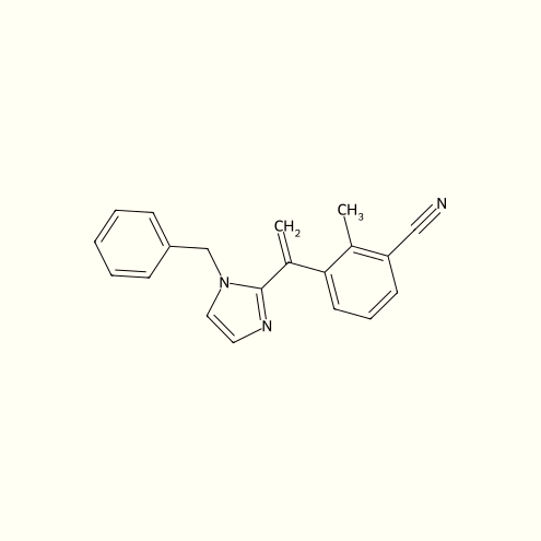 C=C(c1cccc(C#N)c1C)c1nccn1Cc1ccccc1